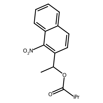 CC(C)C(=O)OC(C)c1ccc2ccccc2c1[N+](=O)[O-]